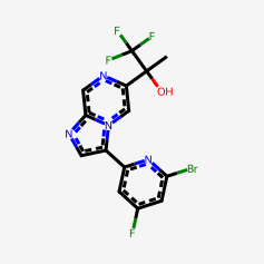 CC(O)(c1cn2c(-c3cc(F)cc(Br)n3)cnc2cn1)C(F)(F)F